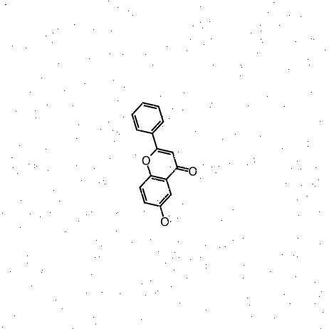 [O]c1ccc2oc(-c3ccccc3)cc(=O)c2c1